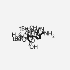 CC(C)(C)[Si](C)(C)O[C@H]1[C@@H](O[Si](C)(C)C(C)(C)C)[C@](C#N)(c2ccc3c(N)ncnn23)O[C@@H]1CO